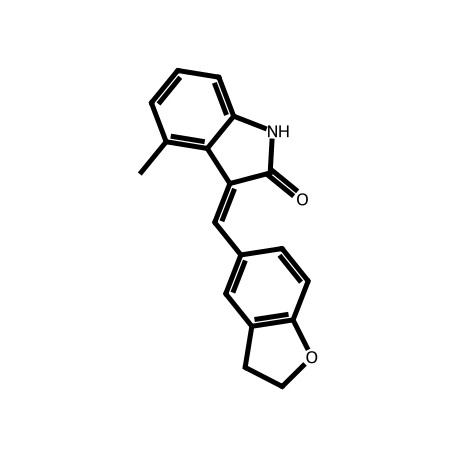 Cc1cccc2c1C(=Cc1ccc3c(c1)CCO3)C(=O)N2